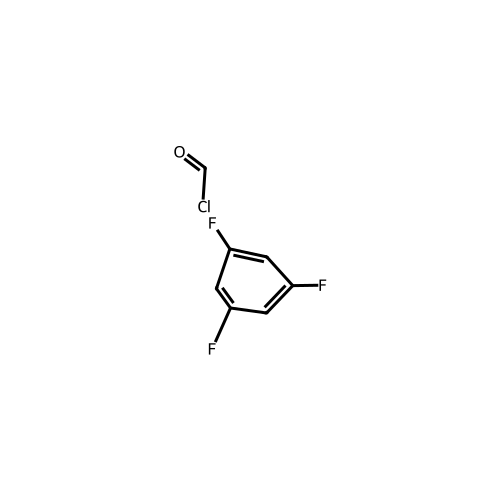 Fc1cc(F)cc(F)c1.O=CCl